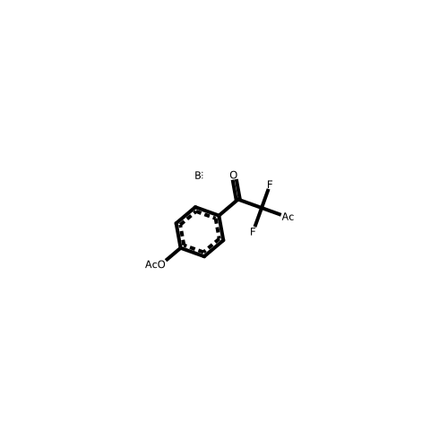 CC(=O)Oc1ccc(C(=O)C(F)(F)C(C)=O)cc1.[B]